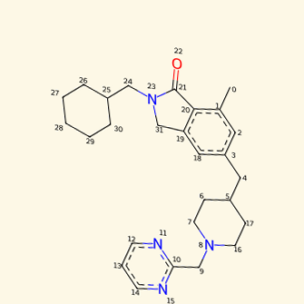 Cc1cc(CC2CCN(Cc3ncccn3)CC2)cc2c1C(=O)N(CC1CCCCC1)C2